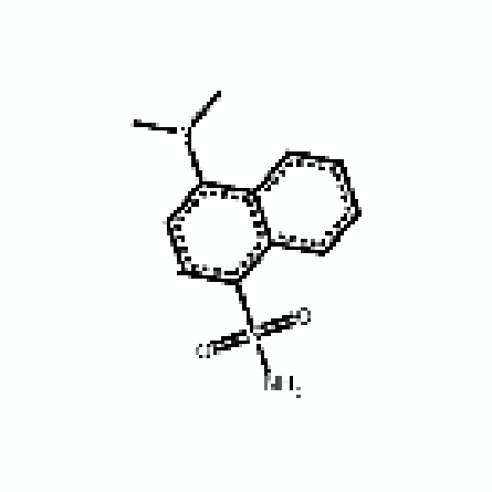 CN(C)c1c[c]c(S(N)(=O)=O)c2ccccc12